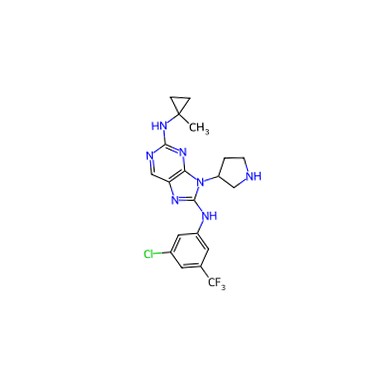 CC1(Nc2ncc3nc(Nc4cc(Cl)cc(C(F)(F)F)c4)n(C4CCNC4)c3n2)CC1